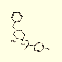 Br.O=C(CC1(O)CCN(Cc2ccccc2)CC1)c1ccc(Cl)cc1